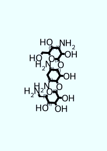 NC[C@H]1O[C@@H](OC2C(O)[C@@H](O[C@H]3OC(CO)[C@@H](O)[C@H](N)C3O)[C@H](N)C[C@@H]2N)C(O)C(O)[C@@H]1O